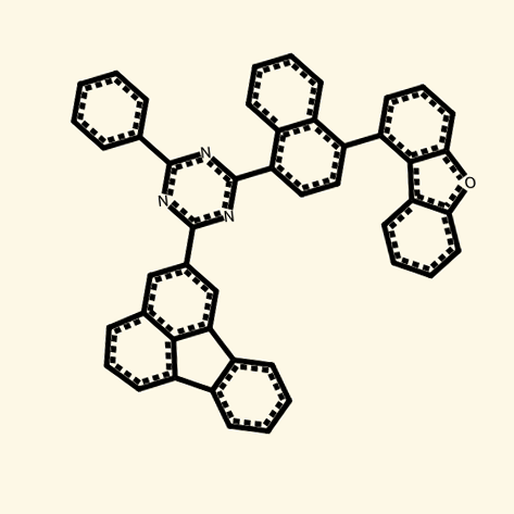 c1ccc(-c2nc(-c3cc4c5c(cccc5c3)-c3ccccc3-4)nc(-c3ccc(-c4cccc5oc6ccccc6c45)c4ccccc34)n2)cc1